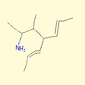 CC=CC(C=CC)C(C)C(C)N